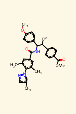 CCCC(c1ccc(C(=O)OC)cc1)C(NC(=O)c1cc(C)c(-n2cc(C(F)(F)F)cn2)c(C)c1)c1ccc(OC(F)(F)F)cc1